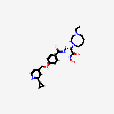 CCN1CCCCN([C@@H](CNC(=O)c2ccc(OCc3ccnc(C4CC4)c3)cc2)C(=O)NO)CC1